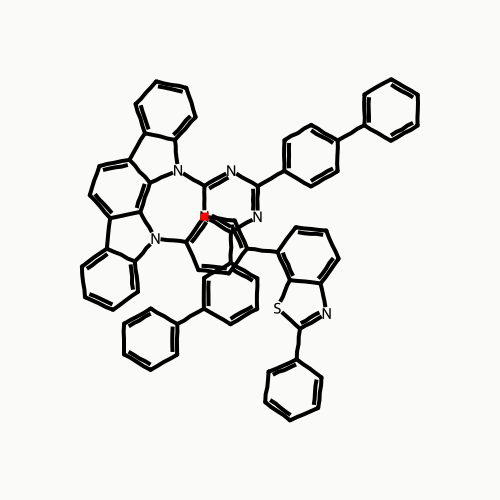 c1ccc(-c2ccc(-c3nc(-c4cccc(-c5ccccc5)c4)nc(-n4c5ccccc5c5ccc6c7ccccc7n(-c7ccc(-c8cccc9nc(-c%10ccccc%10)sc89)cc7)c6c54)n3)cc2)cc1